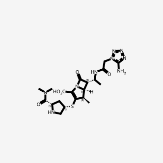 CC(NC(=O)Cn1nnnc1N)[C@H]1C(=O)N2C(C(=O)O)=C(S[C@@H]3CN[C@H](C(=O)N(C)C)C3)[C@H](C)[C@H]12